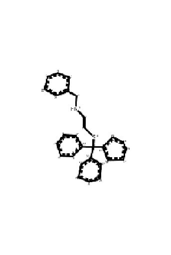 c1ccc(CNCCSC(c2ccccc2)(c2ccccc2)c2ccccc2)cc1